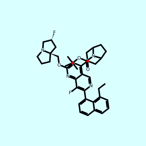 CCc1cccc2cccc(-c3ncc4c(N5CC6CCC(C5)N6C(=O)OC(C)(C)C)nc(OC[C@@]56CCCN5C[C@H](F)C6)nc4c3F)c12